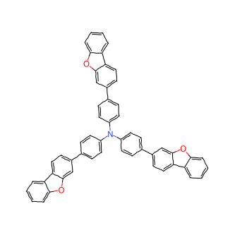 c1ccc2c(c1)oc1cc(-c3ccc(N(c4ccc(-c5ccc6c(c5)oc5ccccc56)cc4)c4ccc(-c5ccc6c(c5)oc5ccccc56)cc4)cc3)ccc12